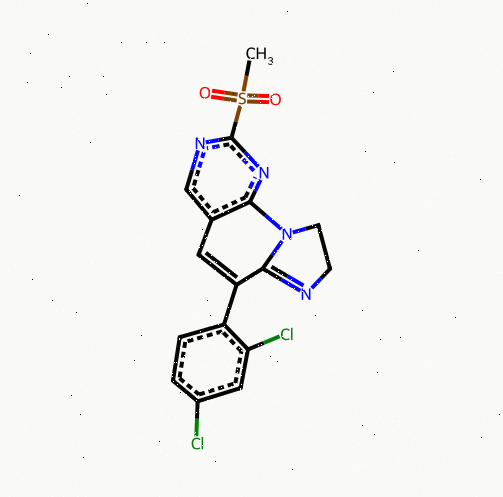 CS(=O)(=O)c1ncc2c(n1)N1CCN=C1C(c1ccc(Cl)cc1Cl)=C2